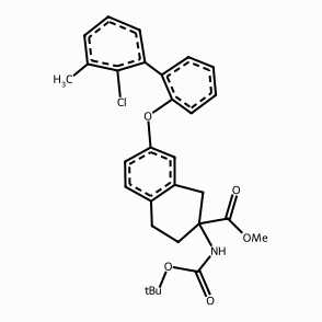 COC(=O)C1(NC(=O)OC(C)(C)C)CCc2ccc(Oc3ccccc3-c3cccc(C)c3Cl)cc2C1